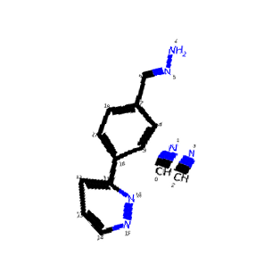 C#N.C#N.NN=Cc1ccc(-c2cccnn2)cc1